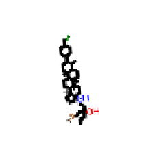 CCC[C@@](O)(CCNC12CCC[C@@H]1C1CCC3C4(C)CC=C(C5=CCC(CF)CC5)C(C)C4CCC3(C)[C@]1(C)CC2)CCSC